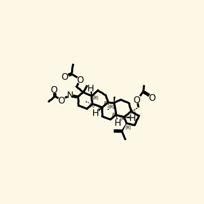 C=C(C)[C@@H]1CC[C@]2(COC(C)=O)CC[C@]3(C)[C@H](CC[C@@H]4[C@@]5(C)CCC(=NOC(C)=O)C(C)(COC(C)=O)[C@@H]5CC[C@]43C)[C@@H]12